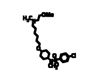 COCCN(C)CCCCCCO[C@H]1CC[C@H](N(C)S(=O)(=O)c2ccc(Cl)cc2)CC1